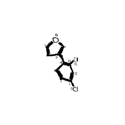 Clc1ccc(-c2c[c]oc2)c(Cl)c1